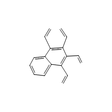 C=Cc1c(C=C)c(C=C)c2ccccc2c1C=C